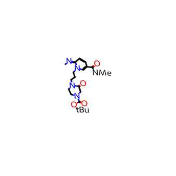 C/N=c1/ccc(C(=O)NC)cn1CCCN1CCN(C(=O)OC(C)(C)C)CC1=O